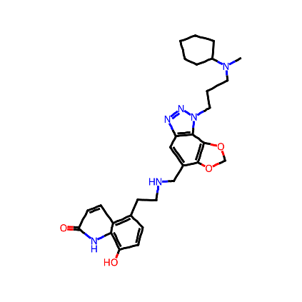 CN(CCCn1nnc2cc(CNCCc3ccc(O)c4[nH]c(=O)ccc34)c3c(c21)OCO3)C1CCCCC1